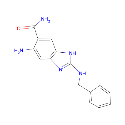 NC(=O)c1cc2[nH]c(NCc3ccccc3)nc2cc1N